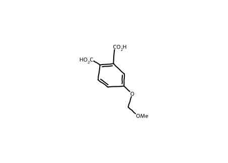 COCOc1ccc(C(=O)O)c(C(=O)O)c1